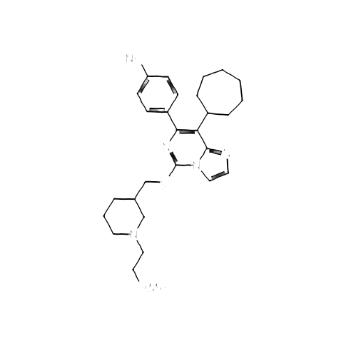 COCCN1CCCC(COc2nc(-c3ccc(C#N)cc3)c(C3CCCCCC3)c3nccn23)C1